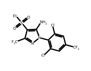 CCS(=O)(=O)c1c(C(F)(F)F)nn(-c2c(Cl)cc(C(F)(F)F)cc2Cl)c1N